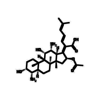 CC(=O)O[C@H]1C[C@@]2(C)[C@H](/C1=C(\C=C\C=C(C)C)C(=O)O)[C@@H](N)[C@@H](O)[C@H]1[C@@]3(C)CC[C@@H](O)[C@@H](N)[C@@H]3CC[C@@]12C